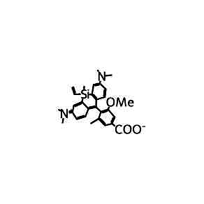 C=C[Si]1(C)C2=CC(=[N+](C)C)C=CC2=C(c2c(C)cc(C(=O)[O-])cc2OC)c2ccc(N(C)C)cc21